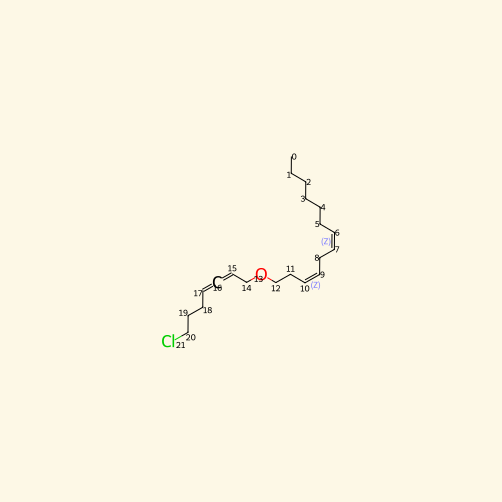 CCCCCC/C=C\C/C=C\CCOCC=C=CCCCCl